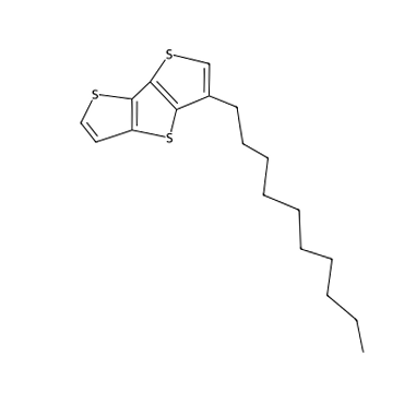 CCCCCCCCCCc1csc2c1sc1ccsc12